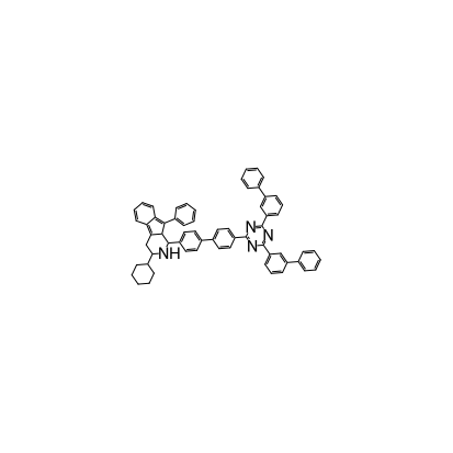 c1ccc(C2=c3ccccc3=C3CC(C4CCCCC4)NC(c4ccc(-c5ccc(-c6nc(-c7cccc(-c8ccccc8)c7)nc(-c7cccc(-c8ccccc8)c7)n6)cc5)cc4)C32)cc1